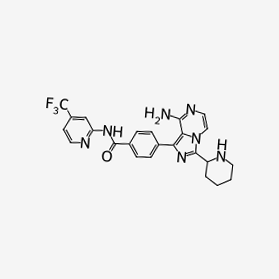 Nc1nccn2c(C3CCCCN3)nc(-c3ccc(C(=O)Nc4cc(C(F)(F)F)ccn4)cc3)c12